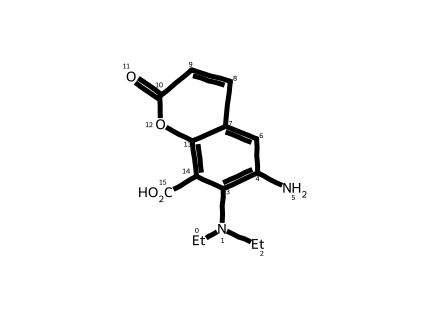 CCN(CC)c1c(N)cc2ccc(=O)oc2c1C(=O)O